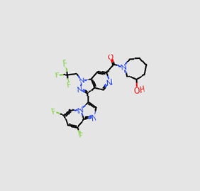 O=C(c1cc2c(cn1)c(-c1cnc3c(F)cc(F)cn13)nn2CC(F)(F)F)N1CCCCC(O)C1